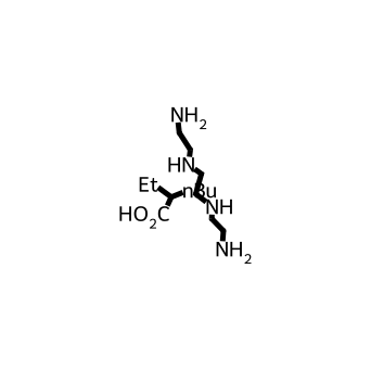 CCCCC(CC)C(=O)O.NCCNCCNCCN